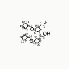 ICCc1cccc(OCc2ccccc2)c1.OCCc1cccc(OCc2ccccc2)c1